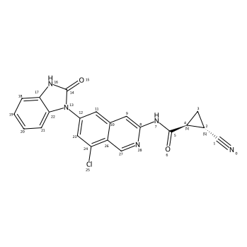 N#C[C@H]1C[C@@H]1C(=O)Nc1cc2cc(-n3c(=O)[nH]c4ccccc43)cc(Cl)c2cn1